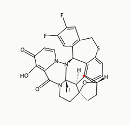 O=C1c2c(O)c(=O)ccn2N([C@H]2c3cc(F)c(F)cc3CSc3ccccc32)[C@@H]2[C@H]3C[C@@H]4CC[C@@]3(CCN12)O4